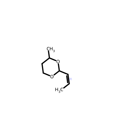 C/C=C\C1OCCC(C)O1